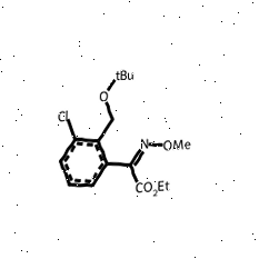 CCOC(=O)/C(=N\OC)c1cccc(Cl)c1COC(C)(C)C